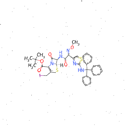 CON=C(C(=O)N[C@@H]1C(=O)N2C(C(=O)OC(C)(C)C)=C(CI)CS[C@H]12)c1csc(NC(c2ccccc2)(c2ccccc2)c2ccccc2)n1